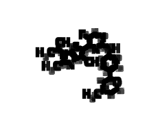 Cc1c(-c2nc(Nc3ccc(C4CN(C)CCO4)cn3)ncc2F)sc2c1nc(C)n2C(C)C